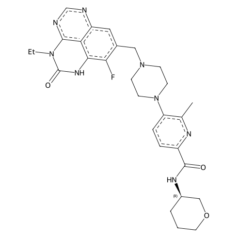 CCN1C(=O)Nc2c(F)c(CN3CCN(c4ccc(C(=O)N[C@@H]5CCCOC5)nc4C)CC3)cc3ncnc1c23